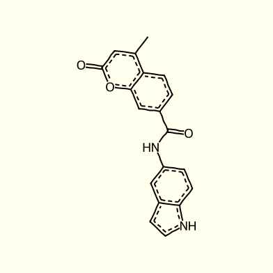 Cc1cc(=O)oc2cc(C(=O)Nc3ccc4[nH]ccc4c3)ccc12